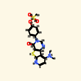 CN(C)c1ccnc2sc3c(=O)n(-c4ccc(OS(C)(=O)=O)cc4)cnc3c12